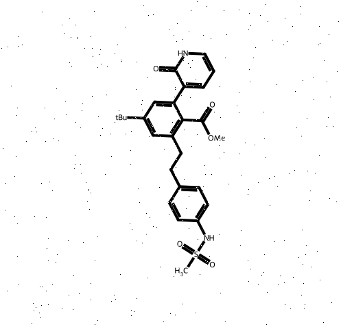 COC(=O)c1c(CCc2ccc(NS(C)(=O)=O)cc2)cc(C(C)(C)C)cc1-c1ccc[nH]c1=O